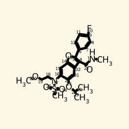 CNC(=O)c1c(-c2ccc(F)cc2)oc2cc(N(CCOC)S(C)(=O)=O)c(OC(C)C)cc12